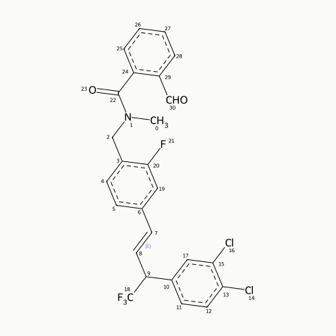 CN(Cc1ccc(/C=C/C(c2ccc(Cl)c(Cl)c2)C(F)(F)F)cc1F)C(=O)c1ccccc1C=O